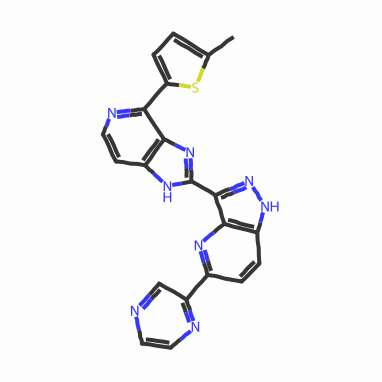 Cc1ccc(-c2nccc3[nH]c(-c4n[nH]c5ccc(-c6cnccn6)nc45)nc23)s1